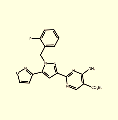 CCOC(=O)c1cnc(-c2cc(-c3ccon3)n(Cc3ccccc3F)n2)nc1N